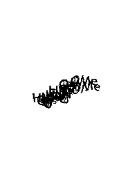 COc1cc2nc(C(=O)NCc3ccc4c(c3)OCC(=O)N4)[nH]c(=O)c2cc1OC